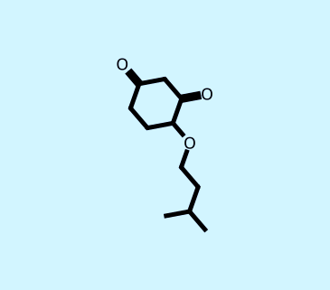 CC(C)CCOC1CCC(=O)CC1=O